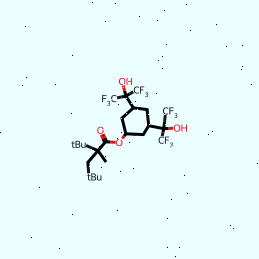 CC(C)(C)CC(C)(C(=O)OC1CC(C(O)(C(F)(F)F)C(F)(F)F)CC(C(O)(C(F)(F)F)C(F)(F)F)C1)C(C)(C)C